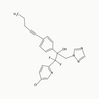 CCCC#Cc1ccc(C(O)(Cn2cncn2)C(F)(F)c2ccc(Cl)cn2)cc1